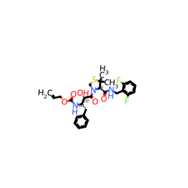 C=CCOC(=O)N[C@@H](Cc1ccccc1)[C@H](O)C(=O)N1CSC(C)(C)[C@H]1C(=O)NCc1c(F)cccc1F